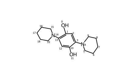 Oc1cc(N2CCCCC2)c(O)cc1N1CCCCC1